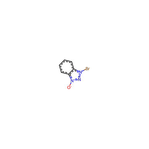 [O-][n+]1nn(Br)c2ccccc21